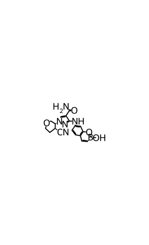 N#C[C@H]1CCOC[C@@H]1n1cc(C(N)=O)c(Nc2ccc3c(c2)OB(O)C=C3)n1